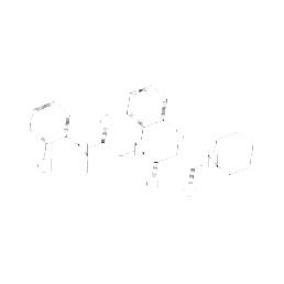 O=C(CN1C(=O)[C@@H](C(=O)N2CCCCC2)Sc2ccccc21)Nc1ccccc1Cl